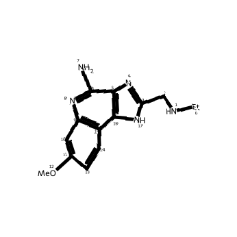 CCNCc1nc2c(N)nc3cc(OC)ccc3c2[nH]1